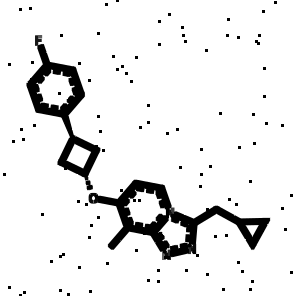 Cc1c(O[C@H]2C[C@H](c3ccc(F)cc3)C2)ccn2c(CC3CC3)nnc12